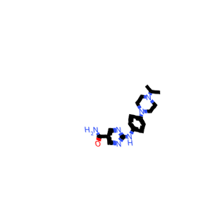 CC(C)N1CCN(c2ccc(Nc3ncc(C(N)=O)cn3)cc2)CC1